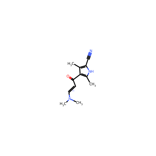 Cc1[nH]c(C#N)c(C)c1C(=O)/C=C/N(C)C